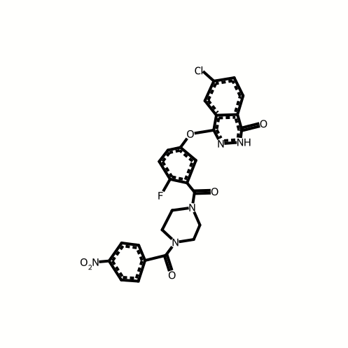 O=C(c1ccc([N+](=O)[O-])cc1)N1CCN(C(=O)c2cc(Oc3n[nH]c(=O)c4ccc(Cl)cc34)ccc2F)CC1